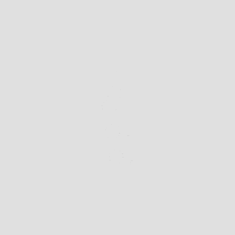 CCc1ccc2cc(-c3ccc(-c4cccc(F)c4)c(F)c3)ccc2c1